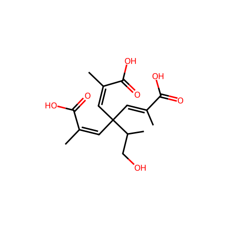 CC(=CC(C=C(C)C(=O)O)(C=C(C)C(=O)O)C(C)CO)C(=O)O